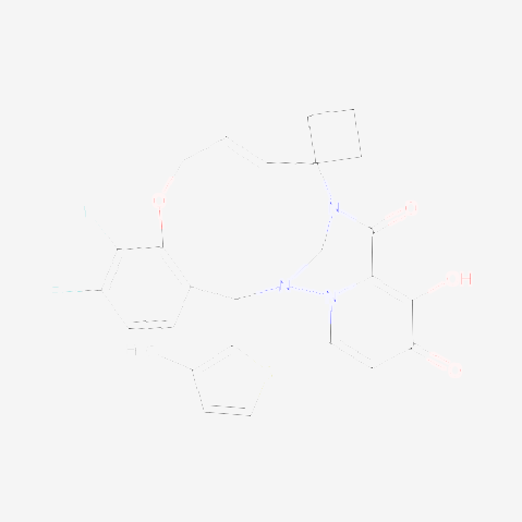 Cc1ccsc1[C@@H]1c2ccc(F)c(F)c2OC/C=C/C2(CCC2)N2CN1n1ccc(=O)c(O)c1C2=O